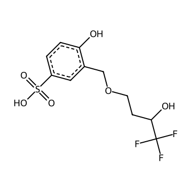 O=S(=O)(O)c1ccc(O)c(COCCC(O)C(F)(F)F)c1